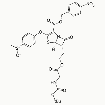 C[S+]([O-])c1ccc(OC2=C(C(=O)OCc3ccc([N+](=O)[O-])cc3)N3C(=O)[C@H](CCOC(=O)CNC(=O)OC(C)(C)C)[C@H]3S2)cc1